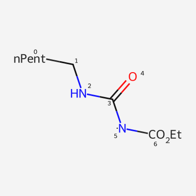 CCCCCCNC(=O)[N]C(=O)OCC